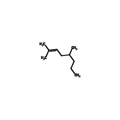 CCCC(C)CC=C(C)C